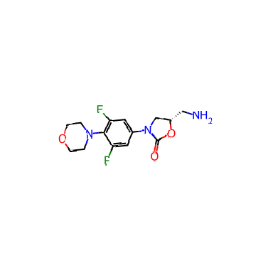 NC[C@H]1CN(c2cc(F)c(N3CCOCC3)c(F)c2)C(=O)O1